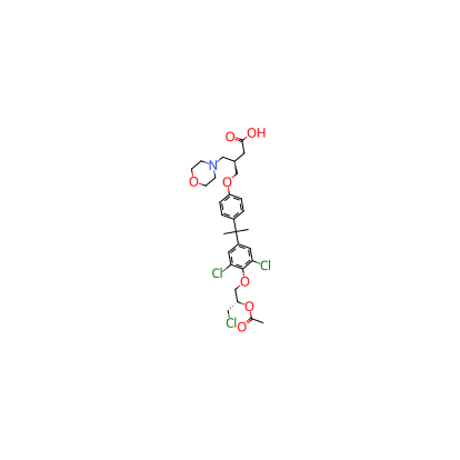 CC(=O)O[C@H](CCl)COc1c(Cl)cc(C(C)(C)c2ccc(OC[C@H](CC(=O)O)CN3CCOCC3)cc2)cc1Cl